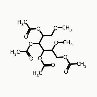 COCC(OC(C)=O)C(OC(C)=O)C(OC(C)=O)C(COC(C)=O)OC